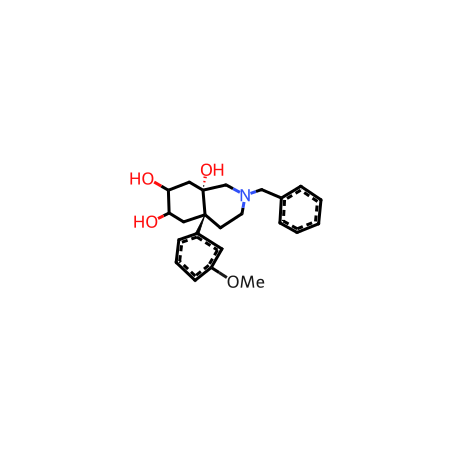 COc1cccc([C@]23CCN(Cc4ccccc4)C[C@]2(O)CC(O)C(O)C3)c1